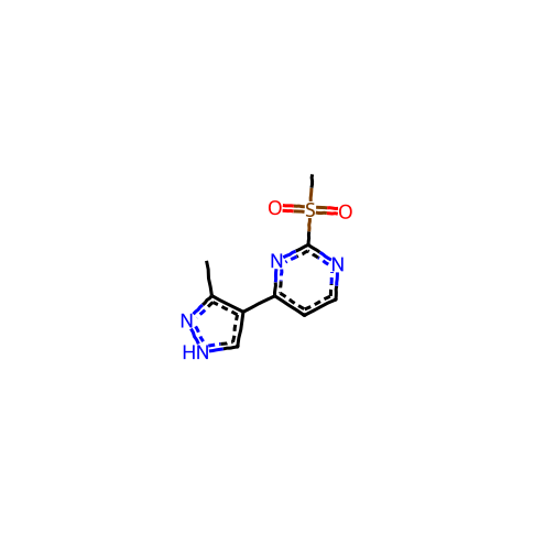 Cc1n[nH]cc1-c1ccnc(S(C)(=O)=O)n1